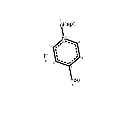 CCCCCCC[n+]1ccc(CCCC)cc1.[F-]